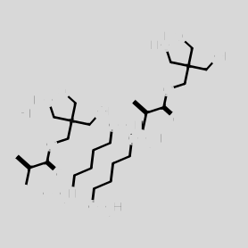 C=C(C)C(=O)OCC(CO)(CO)CO.C=C(C)C(=O)OCC(CO)(CO)CO.O=C(O)CCCCC(=O)O.O=C(O)CCCCC(=O)O.[KH]